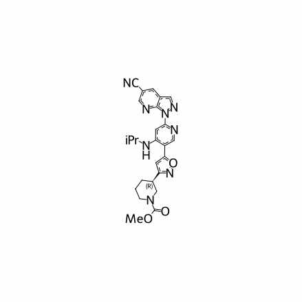 COC(=O)N1CCC[C@@H](c2cc(-c3cnc(-n4ncc5cc(C#N)cnc54)cc3NC(C)C)on2)C1